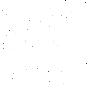 O=C(O)C1CC1COc1nc(C2CC3CCC(C2)N3)c2cc(F)c(-c3cc(O)cc4ccccc34)c(F)c2n1